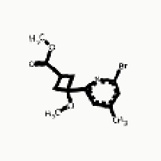 COC(=O)C1CC(OC)(c2cc(C)cc(Br)n2)C1